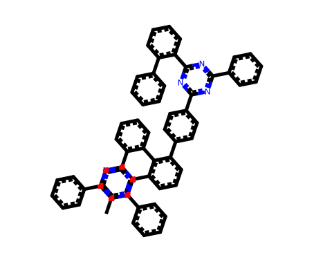 Cc1cccc(-c2cccc(-c3ccc(-c4nc(-c5ccccc5)nc(-c5ccccc5-c5ccccc5)n4)cc3)c2-c2ccccc2-c2nc(-c3ccccc3)nc(-c3ccccc3)n2)n1